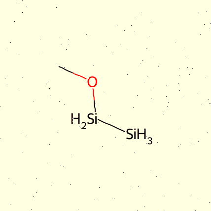 CO[SiH2][SiH3]